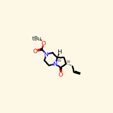 C=CC[C@H]1C[C@H]2CN(C(=O)OC(C)(C)C)CCN2C1=O